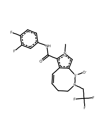 Cn1cc2c(c1C(=O)Nc1ccc(F)c(F)c1)/C=C\CCN(CC(F)(F)F)[S+]2[O-]